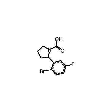 O=C(O)N1CCCC1c1cc(F)ccc1Br